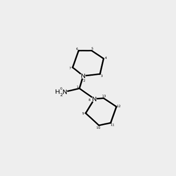 NC(N1CCCCC1)N1CCCCC1